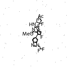 COc1nc(N[C@@H]2CN(C(C)=O)CC2(F)F)nn2cc(F)c(-c3ccc4ncn(CC(F)F)c4c3)c12